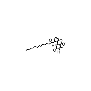 CCCCCCCCC=CCCCC(Cc1ccccc1C1NC(=O)NC(C)=C1C(=O)OC)OC